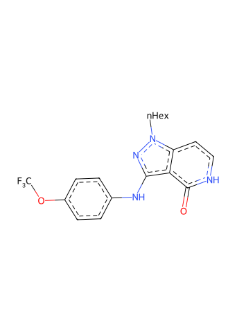 CCCCCCn1nc(Nc2ccc(OC(F)(F)F)cc2)c2c(=O)[nH]ccc21